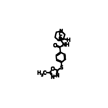 Cc1nnc(Sc2ccc(C(=O)N[C@H]3CN4CCC3CC4)cc2)o1